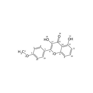 COc1ccc(-c2oc3cccc(O)c3c(=O)c2O)cc1